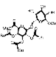 COC(=O)[C@H]1O[C@@H](OC[C@H]2O[C@@H](OC)[C@H](O)[C@@H](O)[C@H]2O)[C@H](OC(=O)C(C)(C)C)[C@@H](OC(=O)C(C)(C)C)[C@@H]1OC(=O)C(C)(C)C